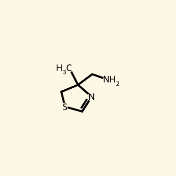 CC1(CN)CSC=N1